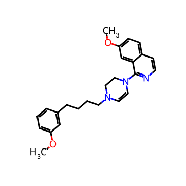 COc1cccc(CCCCN2C=CN(c3nccc4ccc(OC)cc34)CC2)c1